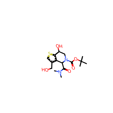 CN(C)C(=O)C1c2c(CO)csc2C(O)CN1C(=O)OC(C)(C)C